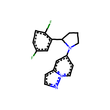 Fc1ccc(F)c(C2CCCN2c2ccn3nc[c]c3c2)c1